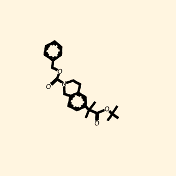 CC(C)(C)OC(=O)C(C)(C)c1ccc2c(c1)CCN(C(=O)OCc1ccccc1)C2